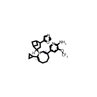 Nc1ncc(/C2=C/N([C@H]3CC(c4cnco4)C4CC3C4)/C(C3CC3)=C\CCC2)cc1OC(F)(F)F